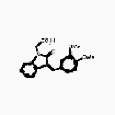 COc1ccc(/C=C2\C(=O)N(CC(=O)O)c3ccccc32)cc1OC